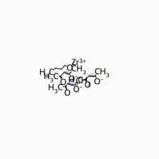 CC(=O)/C=C(/C)[O-].CC(=O)/C=C(/C)[O-].CC(=O)/C=C(/C)[O-].CCCC[O][Zr+3]